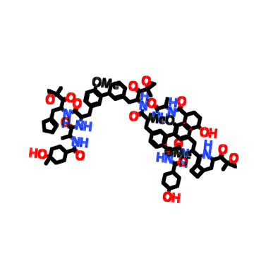 COc1ccc(CC(NC(=O)C(C)NC(=O)C2CCC(O)CC2)C(=O)NC(CC2=CC(c3cc(CC(NC(=O)C(C)NC(=O)C4CCC(C)(O)CC4)C(=O)NC(CC4=CCCC4)C(=O)C4(C)CO4)ccc3OC)CCC2)C(=O)C2(C)CO2)cc1-c1cc(CC(NC(=O)C(C)NC(=O)C2CCC(O)CC2)C2=C3CCC3CC(C(=O)C3(C)CO3)N2)ccc1OC